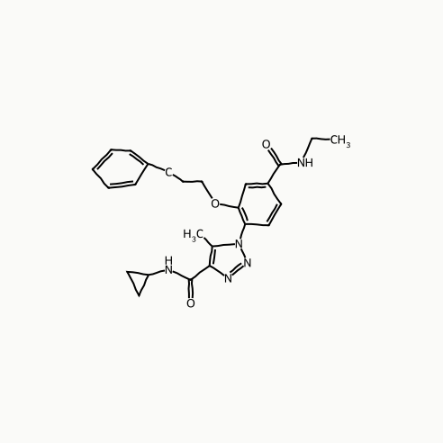 CCNC(=O)c1ccc(-n2nnc(C(=O)NC3CC3)c2C)c(OCCCc2ccccc2)c1